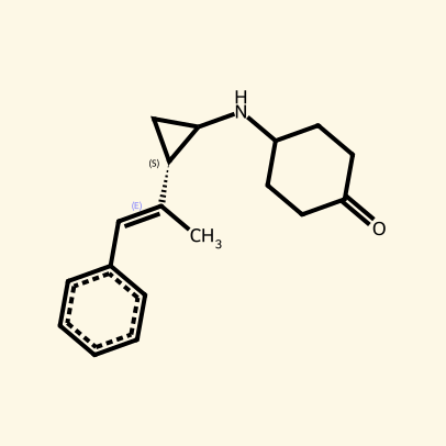 C/C(=C\c1ccccc1)[C@@H]1CC1NC1CCC(=O)CC1